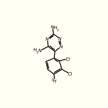 [2H]c1ccc(-c2nnc(N)nc2N)c(Cl)c1Cl